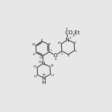 CCOC(=O)N1CCCC(Oc2ccccc2N2CCNCC2)C1